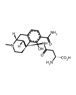 CN1CC[C@]23C[C@H](NC(=O)C[C@@H](N)C(=O)O)CC[C@H]2[C@H]1Cc1ccc(C(N)=O)c(O)c13